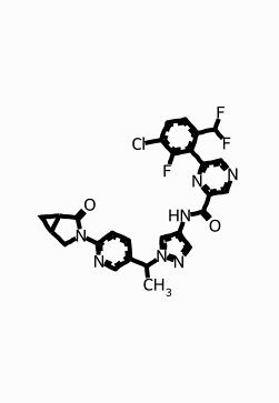 CC(c1ccc(N2CC3CC3C2=O)nc1)n1cc(NC(=O)c2cncc(-c3c(C(F)F)ccc(Cl)c3F)n2)cn1